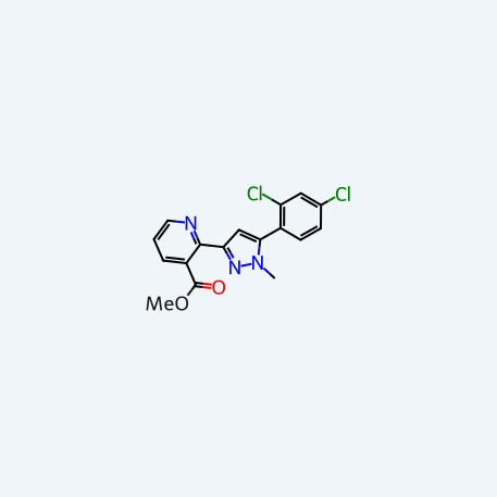 COC(=O)c1cccnc1-c1cc(-c2ccc(Cl)cc2Cl)n(C)n1